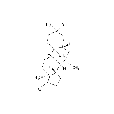 C[C@H]1C[C@H]2C[C@](C)(O)CC[C@]2(C)[C@H]2CC[C@]3(C)C(=O)CC[C@H]3[C@H]12